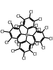 Clc1c(Cl)c(Cl)c([B-](c2c(Cl)c(Cl)c(Cl)c(Cl)c2Cl)(c2c(Cl)c(Cl)c(Cl)c(Cl)c2Cl)c2c(Cl)c(Cl)c(Cl)c(Cl)c2Cl)c(Cl)c1Cl